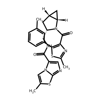 Cc1cccc(-c2sc(C)nc2C(=O)N2[C@H](CNC(=O)c3cnc4sc(C)cn34)C[C@@H]3C[C@@H]32)c1